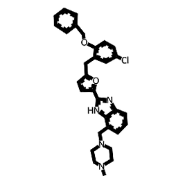 CN1CCN(Cc2cccc3nc(-c4ccc(Cc5cc(Cl)ccc5OCc5ccccc5)o4)[nH]c23)CC1